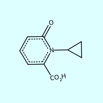 O=C(O)c1cccc(=O)n1C1CC1